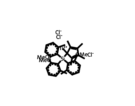 COc1cccc(C)c1[Si](c1c(C)cccc1OC)(c1c(C)cccc1OC)[C]1([Ti+3])C(C)=C(C)C(C)=C1C.[Cl-].[Cl-].[Cl-]